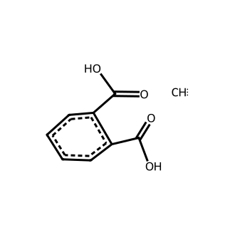 O=C(O)c1ccccc1C(=O)O.[CH]